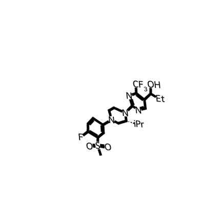 CCC(O)c1cnc(N2CCN(c3ccc(F)c(S(C)(=O)=O)c3)C[C@H]2C(C)C)nc1C(F)(F)F